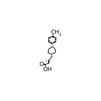 Cc1ccc([C@H]2CC[C@H](C/C=C/C(=O)O)CC2)cc1